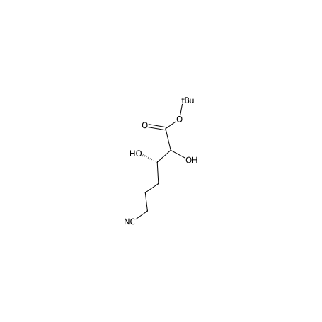 CC(C)(C)OC(=O)C(O)[C@@H](O)CCCC#N